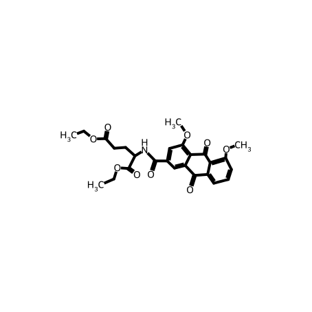 CCOC(=O)CCC(NC(=O)c1cc(OC)c2c(c1)C(=O)c1cccc(OC)c1C2=O)C(=O)OCC